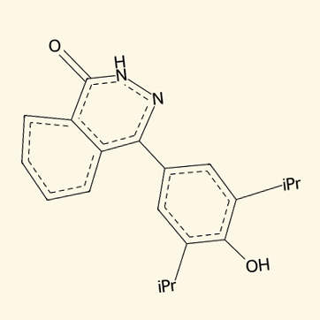 CC(C)c1cc(-c2n[nH]c(=O)c3ccccc23)cc(C(C)C)c1O